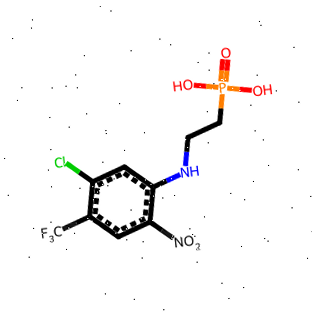 O=[N+]([O-])c1cc(C(F)(F)F)c(Cl)cc1NCCP(=O)(O)O